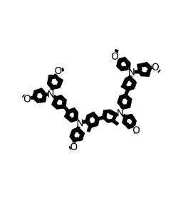 COc1ccc(N(C2=CC=C(c3ccc(N(c4ccc(OC)cc4)c4ccc(-c5ccc(N(c6ccc(OC)cc6)c6ccc(OC)cc6)cc5)cc4)c(C)c3)CC2C)c2ccc(-c3ccc(N(c4ccc(OC)cc4)c4ccc(OC)cc4)cc3)cc2)cc1